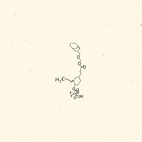 CC/C=C1\CC(CCC(=O)OCOCC2C=C3CCCC(C3)C2)CCC1OC(=O)C(F)(F)S(=O)(=O)O